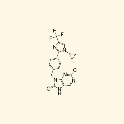 O=c1[nH]c2cnc(Cl)nc2n1Cc1ccc(-c2nc(C(F)(F)F)cn2C2CC2)cc1